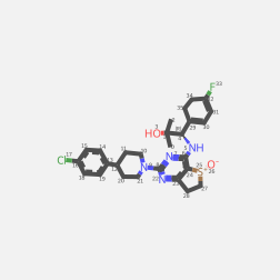 CC(C)(O)[C@H](Nc1nc(N2CCC(c3ccc(Cl)cc3)CC2)nc2c1[S+]([O-])CC2)C1=CC=C(F)CC1